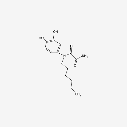 CCCCCCN(C(=O)C(N)=O)c1ccc(O)c(O)c1